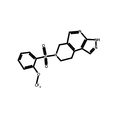 O=S(=O)(c1ccccc1OC(F)(F)F)N1CCc2c(cnc3[nH]ncc23)C1